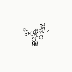 CCOc1nc(C2CC2)nc(OC)c1CN1CC2CN(C(=O)C3(C)COC3)CCN2C(C(c2ccccc2)c2ccccc2)C1.Cl.Cl